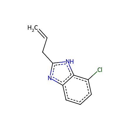 C=CCc1nc2cccc(Cl)c2[nH]1